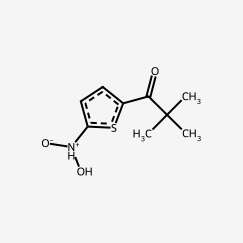 CC(C)(C)C(=O)c1ccc([NH+]([O-])O)s1